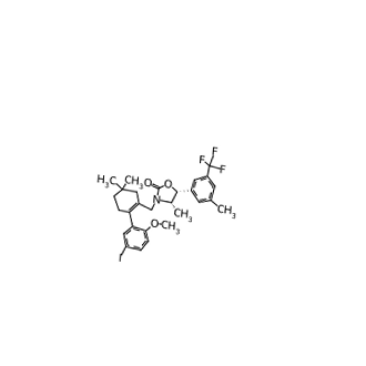 COc1ccc(I)cc1C1=C(CN2C(=O)O[C@H](c3cc(C)cc(C(F)(F)F)c3)[C@@H]2C)CC(C)(C)CC1